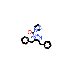 C[N+]1(C(=O)n2ccnc2)C=NC(Cc2ccccc2)=C1Cc1ccccc1